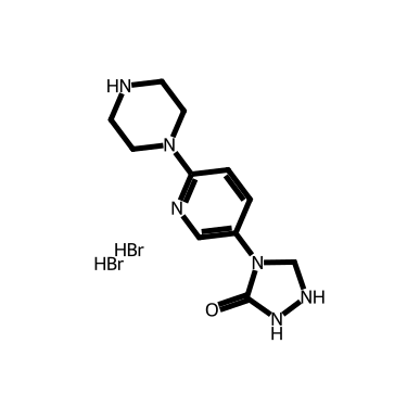 Br.Br.O=C1NNCN1c1ccc(N2CCNCC2)nc1